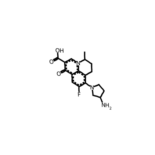 CC1CCc2c(N3CCC(N)C3)c(F)cc3c(=O)c(C(=O)O)cn1c23